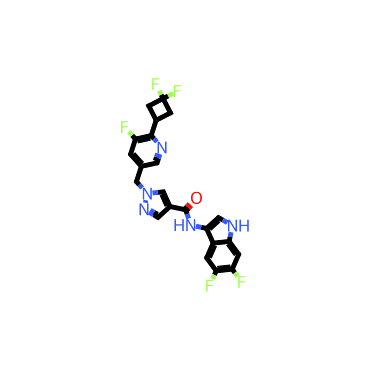 O=C(Nc1c[nH]c2cc(F)c(F)cc12)c1cnn(Cc2cnc(C3CC(F)(F)C3)c(F)c2)c1